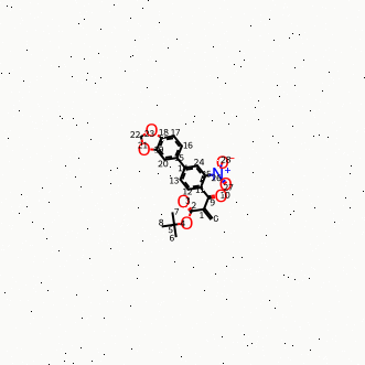 C=C(C(=O)OC(C)(C)C)C(=O)c1ccc(-c2ccc3c(c2)OCO3)cc1[N+](=O)[O-]